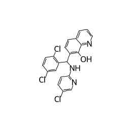 Oc1c(C(Nc2ccc(Cl)cn2)c2cc(Cl)ccc2Cl)ccc2cccnc12